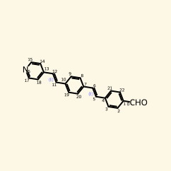 O=Cc1ccc(/C=C/c2ccc(/C=C/c3ccncc3)cc2)cc1